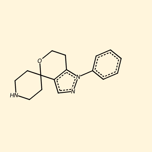 c1ccc(-n2ncc3c2CCOC32CCNCC2)cc1